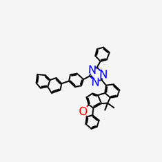 CC1(C)c2cccc(-c3nc(-c4ccccc4)nc(-c4ccc(-c5ccc6ccccc6c5)cc4)n3)c2-c2ccc3oc4ccccc4c3c21